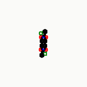 O=C1c2ccc3c4ccc5c6c(ccc(c7ccc(c2c37)C(=O)N1CCc1ccccc1Cl)c64)C(=O)N(CCc1ccccc1Cl)C5=O